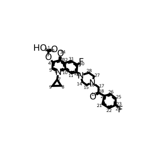 O=C(O)Oc1cn(C2CC2)c2cc(N3CCN(CC(=O)c4ccc(F)cc4)CC3)c(F)cc2c1=O